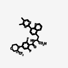 Cc1cnc(-c2ccc(CC(NC(=O)c3c(F)cc(N4CCOC[C@@H]4C(F)(F)F)cc3F)C(=O)O)c3cccnc23)nc1C